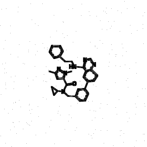 Cc1cc(C(=O)N(Cc2cccc(-c3ccc4ncnc(NCCc5ccccc5)c4c3)c2)C2CC2)n(C)n1